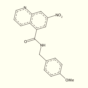 COc1ccc(CNC(=O)c2cc([N+](=O)[O-])cc3ncccc23)cc1